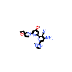 COc1cc(-c2nc(-c3nccn3C)cc(N)c2C#N)nc(N2CCC3(CCO3)C2)c1